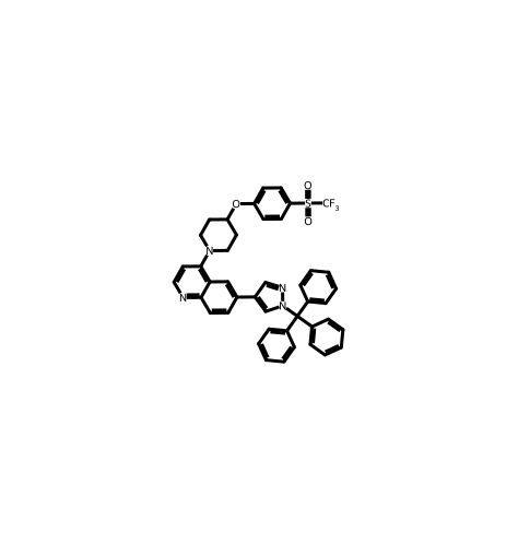 O=S(=O)(c1ccc(OC2CCN(c3ccnc4ccc(-c5cnn(C(c6ccccc6)(c6ccccc6)c6ccccc6)c5)cc34)CC2)cc1)C(F)(F)F